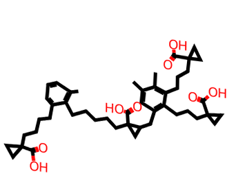 Cc1cc(CC2CC2(CCCCCc2c(C)cccc2CCCCC2(C(=O)O)CC2)C(=O)O)c(CCCC2(C(=O)O)CC2)c(CCCC2(C(=O)O)CC2)c1C